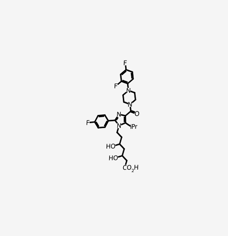 CC(C)c1c(C(=O)N2CCN(c3ccc(F)cc3F)CC2)nc(-c2ccc(F)cc2)n1CCC(O)CC(O)CC(=O)O